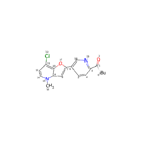 CC[C@@H](C)C(=O)c1ccc(C2=CC3C(=C(Cl)C=CN3C)O2)cn1